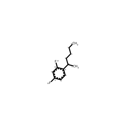 CCCCC(C)c1ccc(F)cc1F